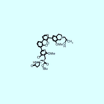 COc1cc(-c2nccc(-c3cccc(-c4cc(Cl)c(CN(C[C@@H]5CCC(=O)N5)C(=O)OC(C)(C)C)c(OC)n4)c3Cl)c2Cl)cc2c1CN(C[C@@H](C)O)CC2